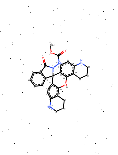 CC(C)(C)OC(=O)NN1C(=O)c2ccccc2C12c1ccc3c(c1Oc1c2ccc2c1CCCN2)CCCN3